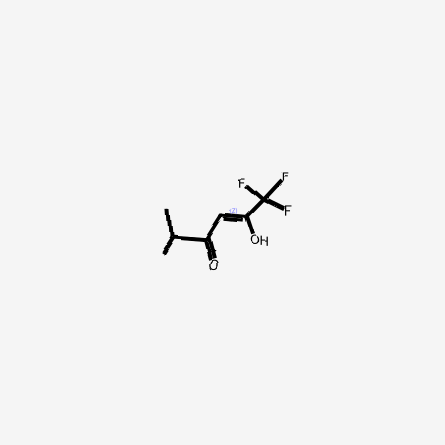 CC(C)C(=O)/C=C(\O)C(F)(F)F